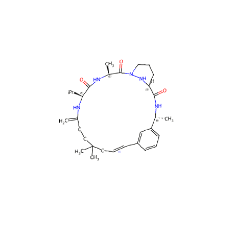 C=C1CCC(C)(C)C/C=C/c2cccc(c2)[C@@H](C)NC(=O)[C@@H]2CCCN(N2)C(=O)[C@H](C)NC(=O)[C@H](C(C)C)N1